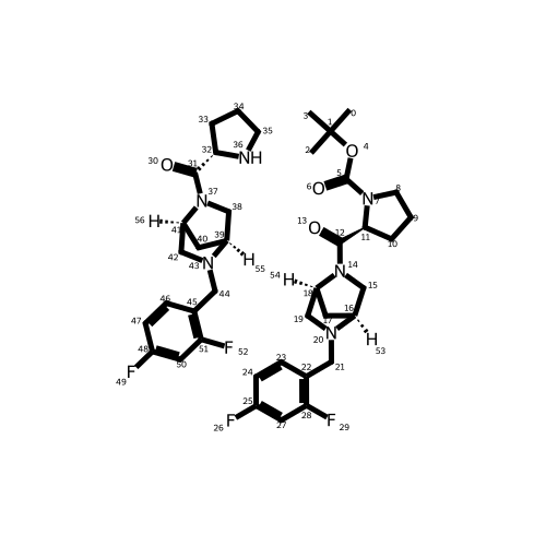 CC(C)(C)OC(=O)N1CCC[C@H]1C(=O)N1C[C@@H]2C[C@H]1CN2Cc1ccc(F)cc1F.O=C([C@@H]1CCCN1)N1C[C@@H]2C[C@H]1CN2Cc1ccc(F)cc1F